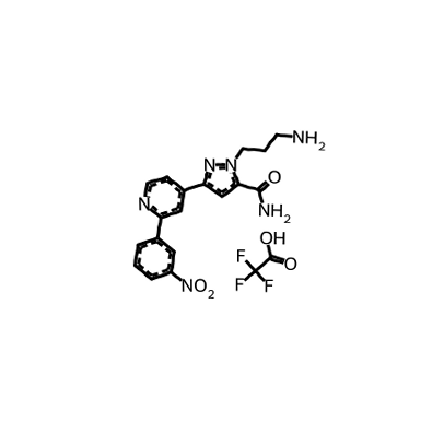 NCCCn1nc(-c2ccnc(-c3cccc([N+](=O)[O-])c3)c2)cc1C(N)=O.O=C(O)C(F)(F)F